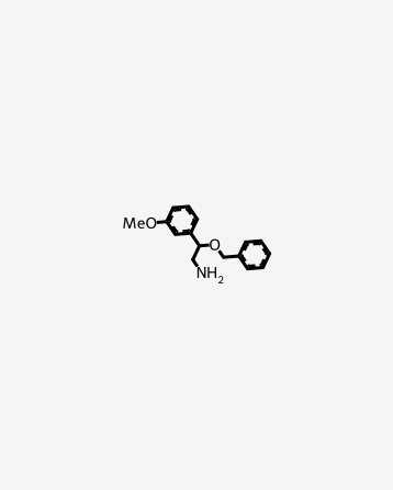 COc1cccc(C(CN)OCc2ccccc2)c1